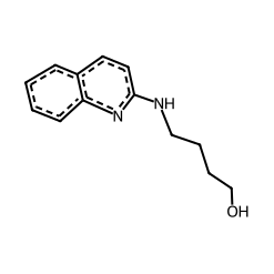 OCCCCNc1ccc2ccccc2n1